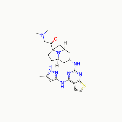 Cc1cc(Nc2nc(N[C@@H]3C[C@H]4CCC5(C(=O)CN(C)C)C[C@@H](C3)N45)nc3sccc23)n[nH]1